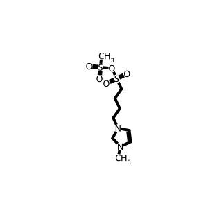 CN1C=CN(CCCCS(=O)(=O)OS(C)(=O)=O)C1